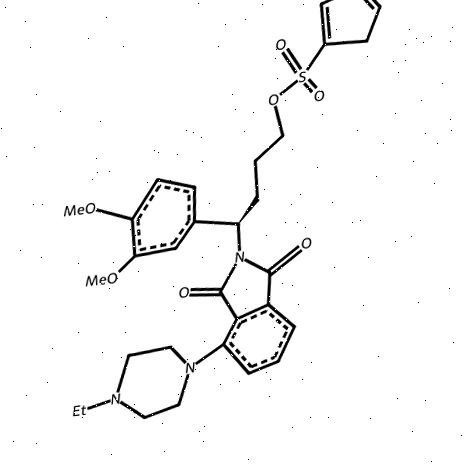 CCN1CCN(c2cccc3c2C(=O)N([C@H](CCCOS(=O)(=O)C2=CC=CC2)c2ccc(OC)c(OC)c2)C3=O)CC1